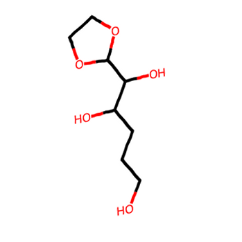 OCCCC(O)C(O)C1OCCO1